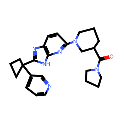 O=C(C1CCCN(c2ccc3nc(C4(c5cccnc5)CCC4)[nH]c3n2)C1)N1CCCC1